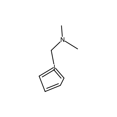 CN(C)CI1=CC=CC=1